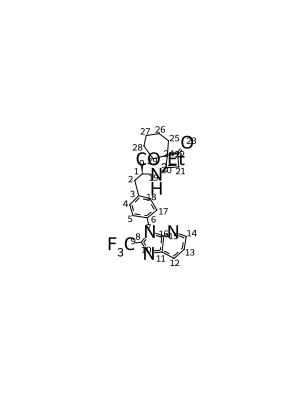 CCOC(=O)[C@H](Cc1ccc(-n2c(C(F)(F)F)nc3cccnc32)cc1)NC1=CC(=O)C12CCCCC2